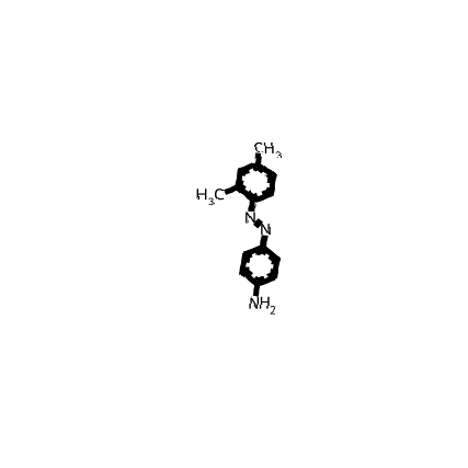 Cc1ccc(/N=N/c2ccc(N)cc2)c(C)c1